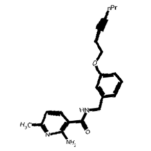 CCCC#CCCOc1cccc(CNC(=O)c2ccc(C)nc2N)c1